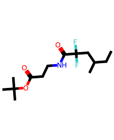 CCC(C)CC(F)(F)C(=O)NCCC(=O)OC(C)(C)C